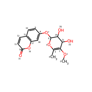 COC1=C(C)OC(Oc2ccc3ccc(=O)oc3c2)C(O)C1O